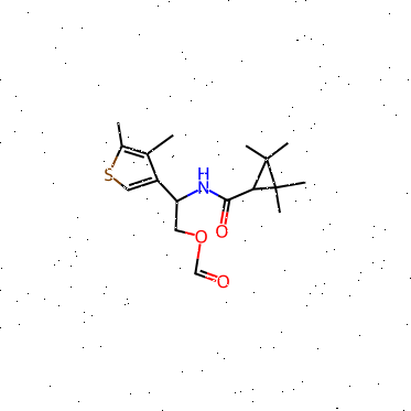 Cc1scc(C(COC=O)NC(=O)C2C(C)(C)C2(C)C)c1C